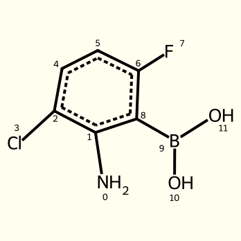 Nc1c(Cl)ccc(F)c1B(O)O